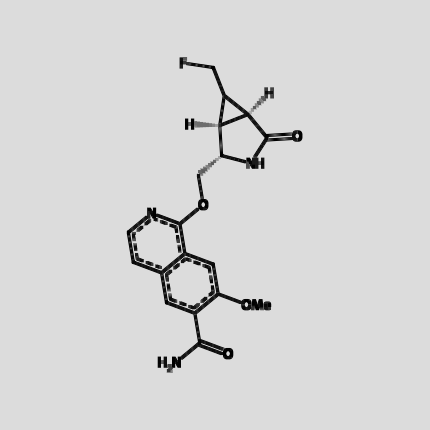 COc1cc2c(OC[C@H]3NC(=O)[C@@H]4C(CF)[C@@H]43)nccc2cc1C(N)=O